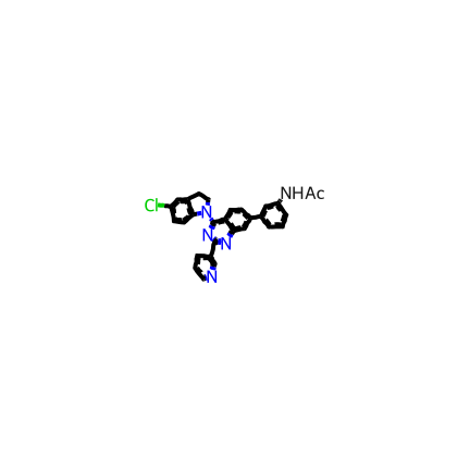 CC(=O)Nc1cccc(-c2ccc3c(N4CCc5cc(Cl)ccc54)nc(-c4cccnc4)nc3c2)c1